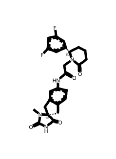 CN1C(=O)NC(=O)[C@@]12Cc1ccc(NC(=O)CN3C(=O)CCC[C@H]3c3cc(F)cc(F)c3)cc1C2